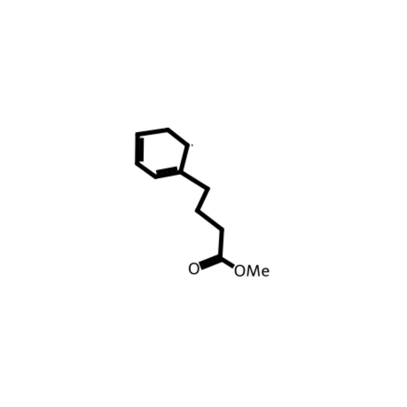 COC(=O)CCCC1=CC=CC[CH]1